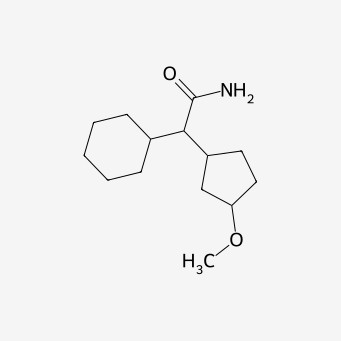 COC1CCC(C(C(N)=O)C2CCCCC2)C1